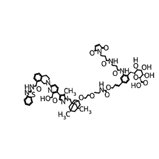 Cc1c(-c2ccc(N3CCc4cccc(C(=O)Nc5nc6ccccc6s5)c4C3)nc2C(=O)O)cnn1CC12CC3(C)CC(C)(C1)CC(OCCOCCNC(=O)OC/C=C/c1ccc(C[C@@H]4O[C@H](C(=O)O)[C@@H](O)[C@H](O)[C@H]4O)c(NC(=O)CCNC(=O)CCN4C(=O)C=CC4=O)c1)(C3)C2